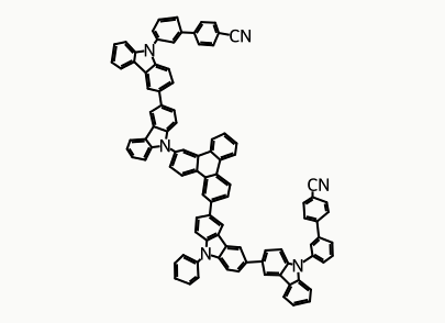 N#Cc1ccc(-c2cccc(-n3c4ccccc4c4cc(-c5ccc6c(c5)c5ccccc5n6-c5ccc6c7cc(-c8ccc9c(c8)c8cc(-c%10ccc%11c(c%10)c%10ccccc%10n%11-c%10cccc(-c%11ccc(C#N)cc%11)c%10)ccc8n9-c8ccccc8)ccc7c7ccccc7c6c5)ccc43)c2)cc1